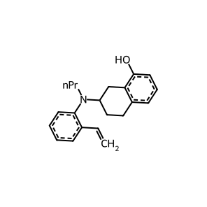 C=Cc1ccccc1N(CCC)C1CCc2cccc(O)c2C1